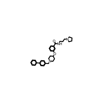 O=C(NCCCN1CCCC1)c1cccc(OC2CCN(Cc3ccc(-c4ccccc4)cc3)CC2)c1